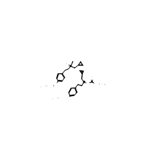 CCCCCCCOc1ccc(CCC(CC2CC2)(NC(=O)OC)C(=O)OCC)cc1.CCCCCCCOc1ccc(CCC(N)(CO)CC2CC2)cc1.Cl